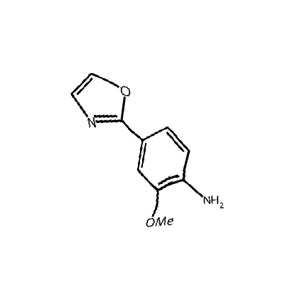 COc1cc(-c2ncco2)ccc1N